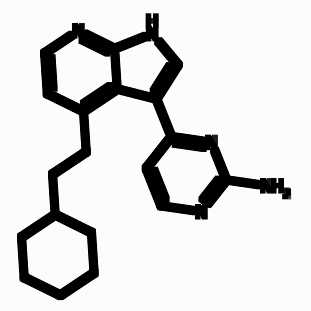 Nc1nccc(-c2c[nH]c3nccc(CCC4CCCCC4)c23)n1